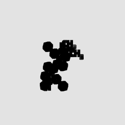 C=Nc1oc2c(N(c3ccc(-c4ccccc4)cc3)c3cc4c5ccccc5c(N(c5ccc(-c6ccccc6)cc5)c5cccc6c5oc5ncccc56)cc4c4ccccc34)cccc2c1/C=C\C